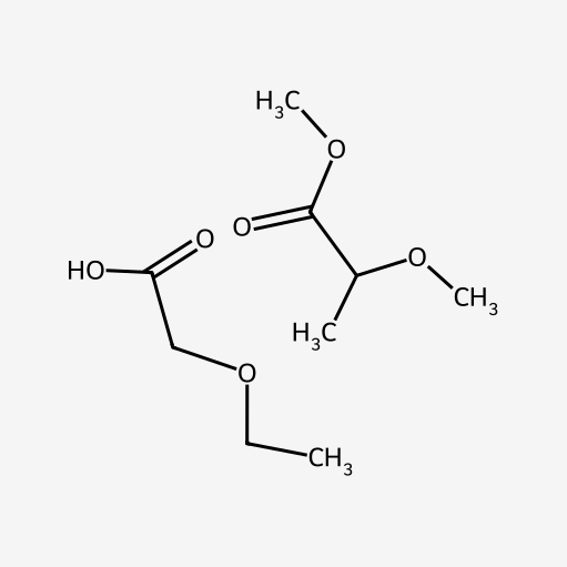 CCOCC(=O)O.COC(=O)C(C)OC